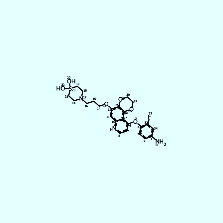 Nc1ccc(Oc2ccnc3cc(OCCCN4CCS(O)(O)CC4)c4c(c23)OCCO4)c(F)c1